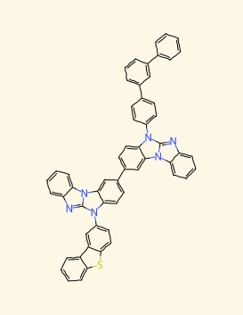 c1ccc(-c2cccc(-c3ccc(-n4c5ccc(-c6ccc7c(c6)n6c8ccccc8nc6n7-c6ccc7sc8ccccc8c7c6)cc5n5c6ccccc6nc45)cc3)c2)cc1